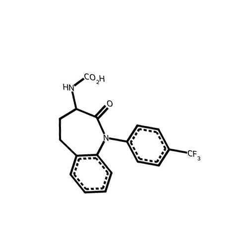 O=C(O)NC1CCc2ccccc2N(c2ccc(C(F)(F)F)cc2)C1=O